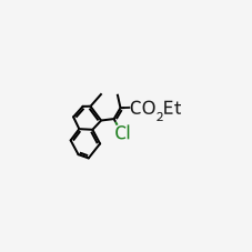 CCOC(=O)/C(C)=C(\Cl)c1c(C)ccc2ccccc12